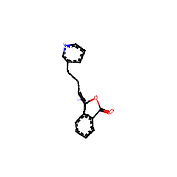 O=C1O/C(=C\CCc2cccnc2)c2ccccc21